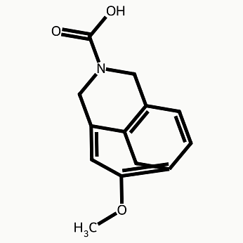 COC1=C2C=CC3=C(C2)C(=C1)CN(C(=O)O)C3